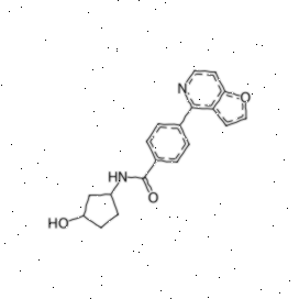 O=C(NC1CCC(O)C1)c1ccc(-c2nccc3occc23)cc1